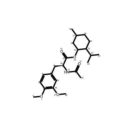 COc1ccc(C[C@H](NC(C)=O)C(=O)OC2CC(C)CCC2C(C)C)cc1OC